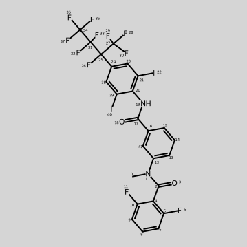 CN(C(=O)c1c(F)cccc1F)c1cccc(C(=O)Nc2c(I)cc(C(F)(C(F)(F)F)C(F)(F)C(F)(F)F)cc2I)c1